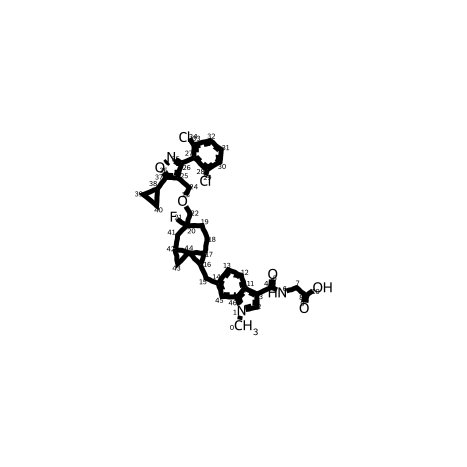 Cn1cc(C(=O)NCC(=O)O)c2ccc(CC3C4CCC(F)(COCc5c(-c6c(Cl)cccc6Cl)noc5C5CC5)CC5CC543)cc21